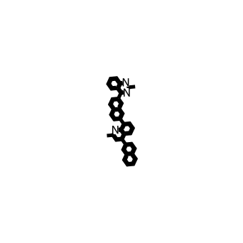 Cc1cc(-c2ccc3ccccc3c2)c2cccc(-c3ccc4ccc(-c5nc(C)nc6ccccc56)cc4c3)c2n1